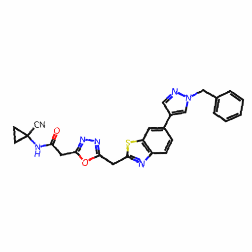 N#CC1(NC(=O)Cc2nnc(Cc3nc4ccc(-c5cnn(Cc6ccccc6)c5)cc4s3)o2)CC1